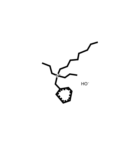 CCCCCCCC[N+](CCC)(CCC)Cc1ccccc1.[OH-]